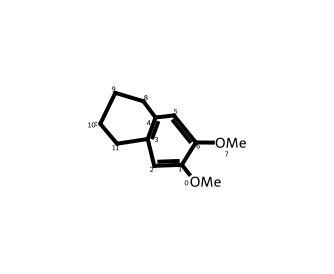 COc1cc2c(cc1OC)CC[C]C2